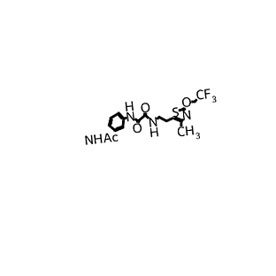 CC(=O)Nc1cccc(NC(=O)C(=O)NCCc2sc(OCC(F)(F)F)nc2C)c1